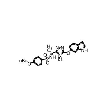 CCCCOc1ccc(S(=O)(=O)N[C@H](C)c2nnc(Oc3ccc4cc[nH]c4c3)n2CC)cc1